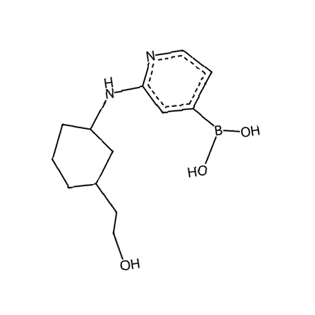 OCCC1CCCC(Nc2cc(B(O)O)ccn2)C1